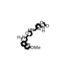 COc1ccc2ccc(F)c(C[C@H](N)[C@@H]3CC[C@@H](NCc4ccc5c(n4)NC(=O)CO5)CO3)c2n1